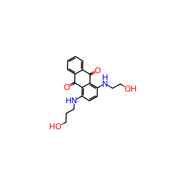 O=C1c2ccccc2C(=O)c2c(NCCCO)ccc(NCCO)c21